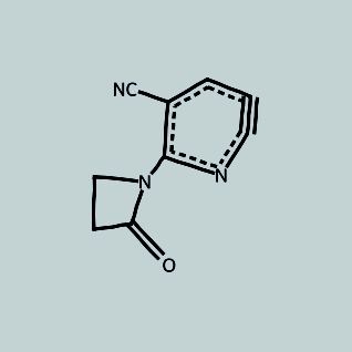 N#Cc1cc#cnc1N1CCC1=O